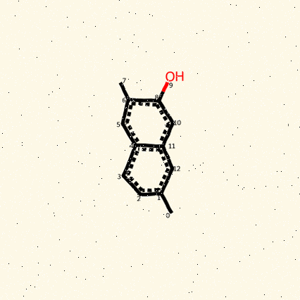 Cc1ccc2cc(C)c(O)cc2c1